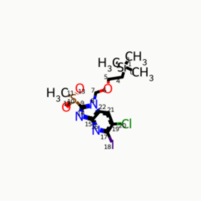 C[Si](C)(C)CCOCn1c(S(C)(=O)=O)nc2nc(I)c(Cl)cc21